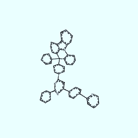 c1ccc(-c2nc(-c3ccc(-c4ccccn4)cc3)cc(-c3ccc(C4(c5ccccc5)c5ccccc5-n5c6ccccc6c6cccc4c65)cc3)n2)cc1